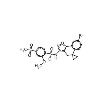 COc1cc(S(C)(=O)=O)ccc1S(=O)(=O)Nc1noc2c1CC1(CC1)c1ccc(Br)cc1-2